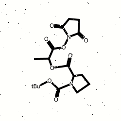 CC(OC(=O)C1CCCN1C(=O)OC(C)(C)C)C(=O)ON1C(=O)CCC1=O